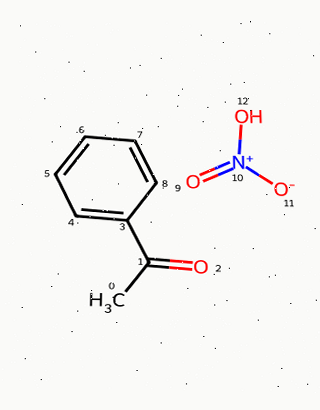 CC(=O)c1ccccc1.O=[N+]([O-])O